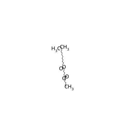 CCCCCOC(=O)CCCCC(=O)OCCCCCCCCCCC(C)C